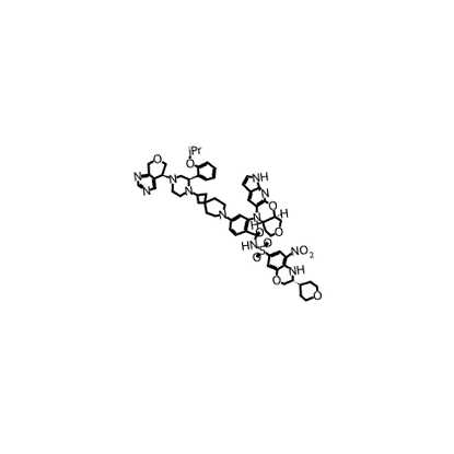 CC(C)Oc1ccccc1[C@@H]1CN([C@@H]2COCc3ncncc32)CCN1C1CC2(CCN(c3ccc(C(=O)NS(=O)(=O)c4cc5c(c([N+](=O)[O-])c4)N[C@H](C4CCOCC4)CO5)c(N4c5cc6cc[nH]c6nc5O[C@H]5COCC[C@@H]54)c3)CC2)C1